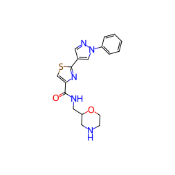 O=C(NCC1CNCCO1)c1csc(-c2cnn(-c3ccccc3)c2)n1